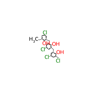 CCc1cc(Cl)cc(Cc2cc(Cl)cc(Cc3cc(Cl)cc(CCl)c3O)c2O)c1O